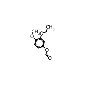 CCOc1cc(OC=O)ccc1OC